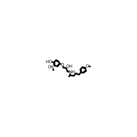 COc1ccc(CCCC(C)NCC(O)COc2ccc(O)c([S+](C)[O-])c2)cc1